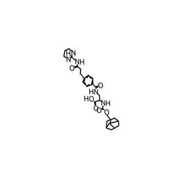 O=C(CCc1ccc(C(=O)NCC(NC(=O)OCC23CC4CC(CC(C4)C2)C3)C(=O)O)cc1)NC1=NCCCN1